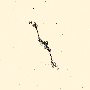 C=CC(=O)OCCCCCCCCCCCCOc1ccc(C(=O)Oc2ccc(OC(=O)c3ccc(OCCCCCCCCCCCCOC(=O)C=C)cc3)c3ccccc23)cc1